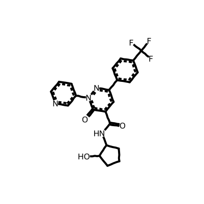 O=C(NC1CCCC1O)c1cc(-c2ccc(C(F)(F)F)cc2)nn(-c2cccnc2)c1=O